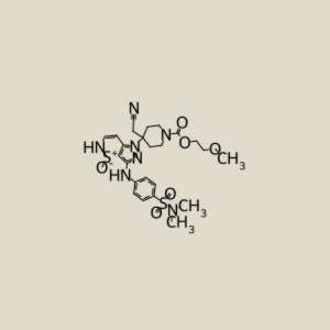 COCCOC(=O)N1CCC(CC#N)(n2nc(Nc3ccc(S(=O)(=O)N(C)C)cc3)c3c2C=CN[S+]3[O-])CC1